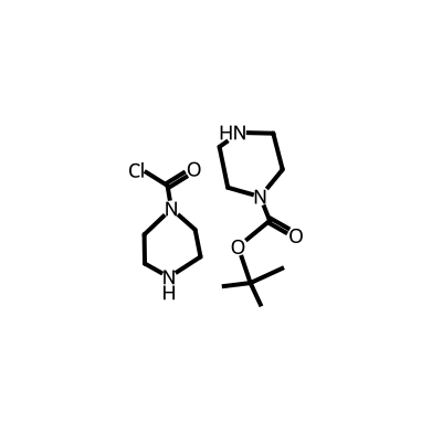 CC(C)(C)OC(=O)N1CCNCC1.O=C(Cl)N1CCNCC1